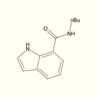 CCCCNC(=O)c1cccc2cc[nH]c12